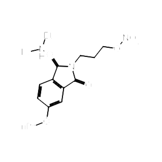 CCCOc1ccc2c(c1)C(=O)N(CCCO[N+](=O)[O-])C2=O.CCNCC